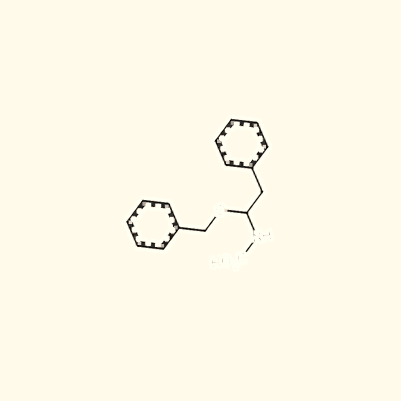 O=C(O)NC(Cc1ccccc1)OCc1ccccc1